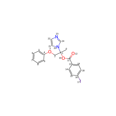 CC(COc1ccccc1)(OC(=O)c1ccc(I)cc1)n1ccnc1